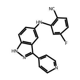 N#Cc1ccc(F)cc1Nc1ccc2[nH]nc(-c3ccncc3)c2c1